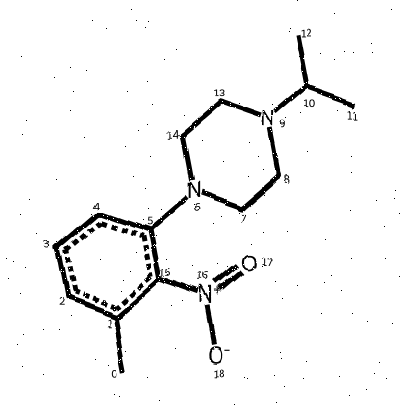 Cc1cccc(N2CCN(C(C)C)CC2)c1[N+](=O)[O-]